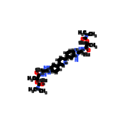 CN(C)C(=O)OC(C)(C(=O)N[C@H](c1nc2ccc(-c3ccc(-c4ccc5nc([C@@H](NC(=O)[C@](C)(OC(=O)N(C)C)C(C)(C)C)C(C)(C)C)[nH]c5c4)cn3)cc2[nH]1)C(C)(C)C)C(C)(C)C